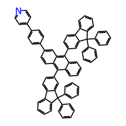 c1ccc(C2(c3ccccc3)c3ccccc3-c3ccc(-c4c5ccccc5c(-c5ccc6c(c5)C(c5ccccc5)(c5ccccc5)c5ccccc5-6)c5cc(-c6ccc(-c7ccncc7)cc6)ccc45)cc32)cc1